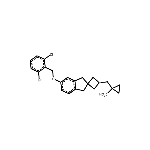 CCc1cccc(Cl)c1COc1ccc2c(c1)CC1(C2)CN(CC2(C(=O)O)CC2)C1